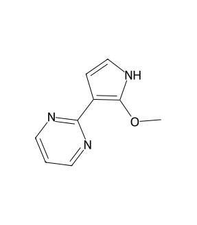 COc1[nH]ccc1-c1ncccn1